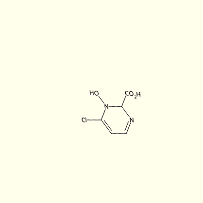 O=C(O)C1N=CC=C(Cl)N1O